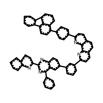 c1ccc(-c2nc(-c3ccc4ccccc4n3)nc3ccc(-c4cccc(-c5ccc6ccc7ccc(-c8ccc(-c9ccc%10c%11c(cccc9%11)-c9ccccc9-%10)cc8)nc7c6n5)c4)cc23)cc1